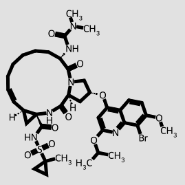 COc1ccc2c(O[C@@H]3C[C@H]4C(=O)N[C@]5(C(=O)NS(=O)(=O)C6(C)CC6)C[C@H]5C=CCCCCC[C@H](NC(=O)N(C)C)C(=O)N4C3)cc(OC(C)C)nc2c1Br